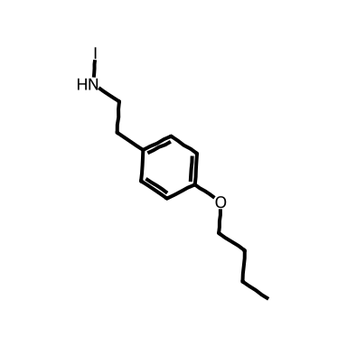 CCCCOc1ccc(CCNI)cc1